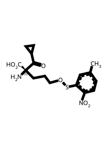 Cc1ccc([N+](=O)[O-])c(SOCCC[C@@](N)(C(=O)O)C(=O)C2CC2)c1